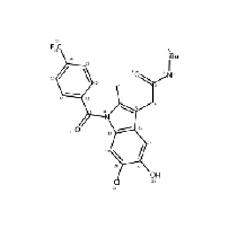 CCC(C)NC(=O)Cc1c(C)n(C(=O)c2ccc(C(F)(F)F)cc2)c2cc(Cl)c(O)cc12